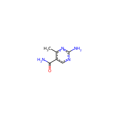 Cc1nc(N)ncc1C(N)=O